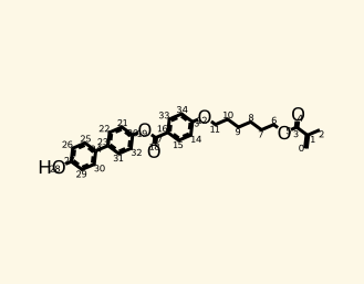 C=C(C)C(=O)OCCCCCCOc1ccc(C(=O)Oc2ccc(-c3ccc(O)cc3)cc2)cc1